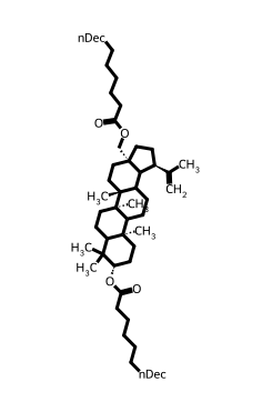 C=C(C)[C@@H]1CC[C@]2(COC(=O)CCCCCCCCCCCCCCC)CC[C@]3(C)C(CCC4[C@@]5(C)CC[C@H](OC(=O)CCCCCCCCCCCCCCC)C(C)(C)C5CC[C@]43C)C12